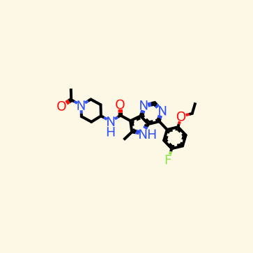 CCOc1ccc(F)cc1-c1ncnc2c(C(=O)NC3CCN(C(C)=O)CC3)c(C)[nH]c12